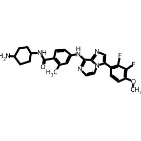 COc1ccc(-c2cnc3c(Nc4ccc(C(=O)NC5CCC(N)CC5)c(C)c4)nccn23)c(F)c1F